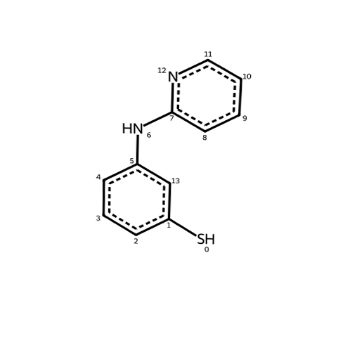 Sc1cccc(Nc2ccccn2)c1